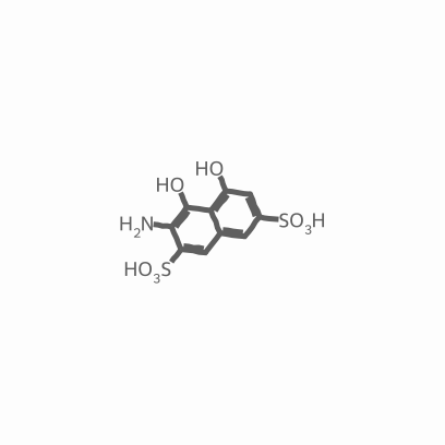 Nc1c(S(=O)(=O)O)cc2cc(S(=O)(=O)O)cc(O)c2c1O